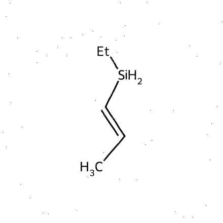 CC=C[SiH2]CC